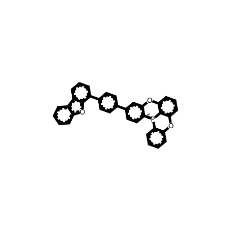 S=P12c3ccccc3Oc3cccc(c31)Oc1cc(-c3ccc(-c4cccc5c4oc4ccccc45)cc3)ccc12